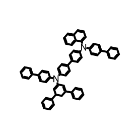 C1=C(c2ccccc2)CC(c2ccccc2)C=C1N(c1ccc(-c2ccccc2)cc1)c1ccc(-c2ccc(N(c3ccc(-c4ccccc4)cc3)c3cccc4ccccc34)cc2)cc1